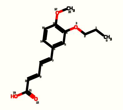 CCCOc1cc(/C=C/C=C/C(=O)O)ccc1OC